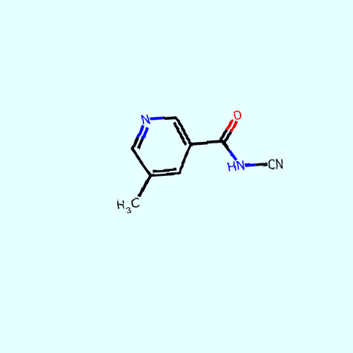 Cc1cncc(C(=O)NC#N)c1